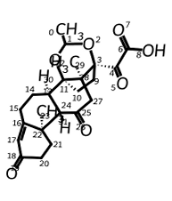 CC1O[C@@]2(C(=O)C(=O)O)CC[C@@]3(O1)[C@@H]1CCC4=CC(=O)CC[C@]4(C)[C@H]1C(=O)C[C@]23C